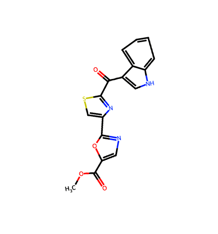 COC(=O)c1cnc(-c2csc(C(=O)c3c[nH]c4ccccc34)n2)o1